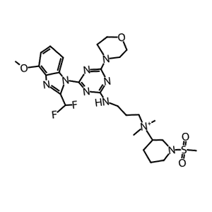 COc1cccc2c1nc(C(F)F)n2-c1nc(NCCC[N+](C)(C)C2CCCN(S(C)(=O)=O)C2)nc(N2CCOCC2)n1